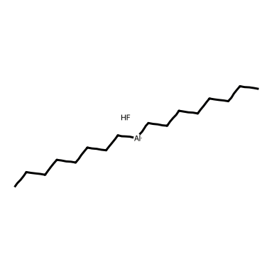 CCCCCCC[CH2][Al][CH2]CCCCCCC.F